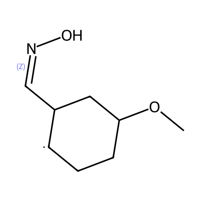 COC1CC[CH]C(/C=N\O)C1